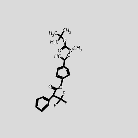 CN(CC(O)c1ccc(OC(=O)C(c2ccccc2)C(F)(F)F)cc1)C(=O)OC(C)(C)C